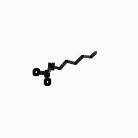 CCCCCCN=S(=O)=O